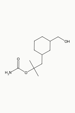 CC(C)(CC1CCCC(CO)C1)OC(N)=O